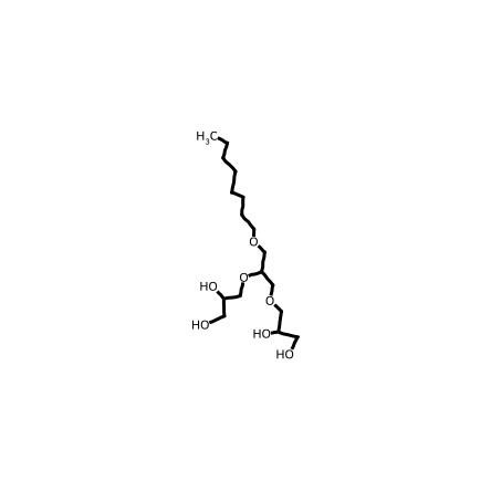 CCCCCCCCOCC(COCC(O)CO)OCC(O)CO